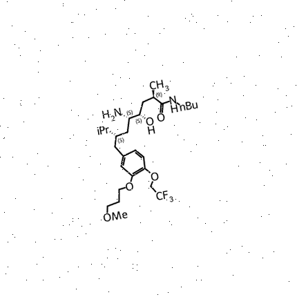 CCCCNC(=O)[C@H](C)C[C@H](O)[C@@H](N)C[C@H](Cc1ccc(OCC(F)(F)F)c(OCCCOC)c1)C(C)C